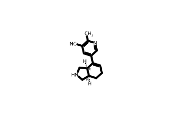 Cc1ncc(C2=CCC[C@H]3CNC[C@@H]23)cc1C#N